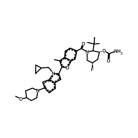 COC1CCN(c2ccc3cc(-c4oc5cc(C(=O)N6C[C@H](F)C[C@@H](OC(N)=O)C6C(C)(C)C)ccc5c4C)n(CC4CC4)c3c2)CC1